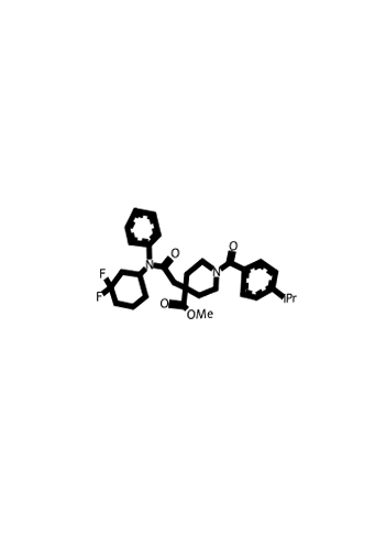 COC(=O)C1(CC(=O)N(c2ccccc2)C2CCCC(F)(F)C2)CCN(C(=O)c2ccc(C(C)C)cc2)CC1